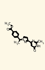 COC(=O)c1ccc(C(C)n2ccc(-c3cc(=O)[nH]c(C)n3)n2)cc1